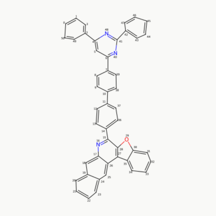 c1ccc(-c2cc(-c3ccc(-c4ccc(-c5nc6cc7ccccc7cc6c6c5oc5ccccc56)cc4)cc3)nc(-c3ccccc3)n2)cc1